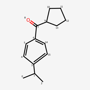 CC(C)c1ccc(C(=O)C2CCCC2)cc1